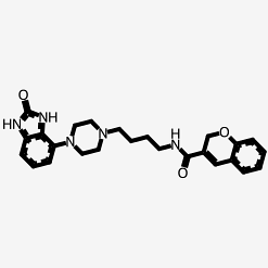 O=C(NCCCCN1CCN(c2cccc3[nH]c(=O)[nH]c23)CC1)C1=Cc2ccccc2OC1